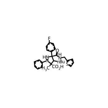 CCCCC1C(C(=O)NCc2cccs2)(c2ccc(F)cc2)NN(c2ccccc2)C1(C)C(=O)O